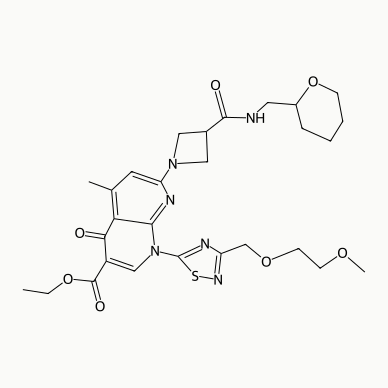 CCOC(=O)c1cn(-c2nc(COCCOC)ns2)c2nc(N3CC(C(=O)NCC4CCCCO4)C3)cc(C)c2c1=O